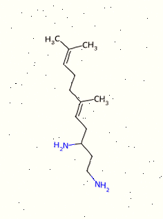 CC(C)=CCC/C(C)=C/CC(N)CCN